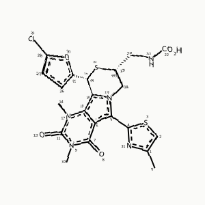 Cc1csc(-c2c3c(=O)n(C)c(=O)n(C)c3c3n2C[C@@H](CNC(=O)O)S[C@H]3c2ccc(Cl)o2)n1